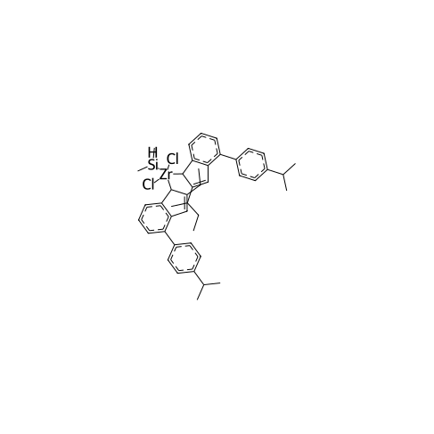 CCC1=Cc2c(-c3ccc(C(C)C)cc3)cccc2[CH]1[Zr]([Cl])([Cl])([CH]1C(C(C)CC)=Cc2c(-c3ccc(C(C)C)cc3)cccc21)[SiH](C)C